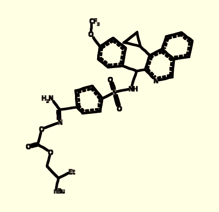 CCCCC(CC)COC(=O)ON=C(N)c1ccc(S(=O)(=O)NC(c2ccc(OC(F)(F)F)cc2)c2ncc3ccccc3c2C2CC2)cc1